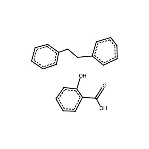 O=C(O)c1ccccc1O.c1ccc(CCc2ccccc2)cc1